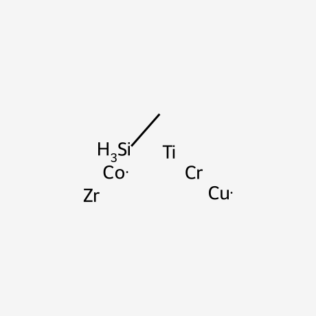 C[SiH3].[Co].[Cr].[Cu].[Ti].[Zr]